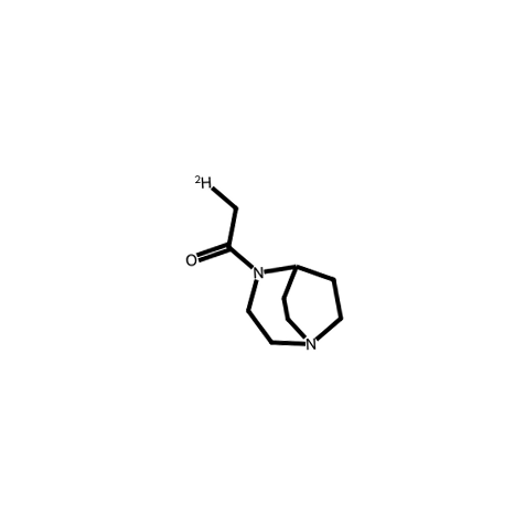 [2H]CC(=O)N1CCN2CCC1CC2